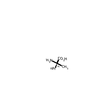 CCC[C@@](C)(N)C(=O)O